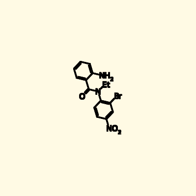 CCN(C(=O)c1ccccc1N)c1ccc([N+](=O)[O-])cc1Br